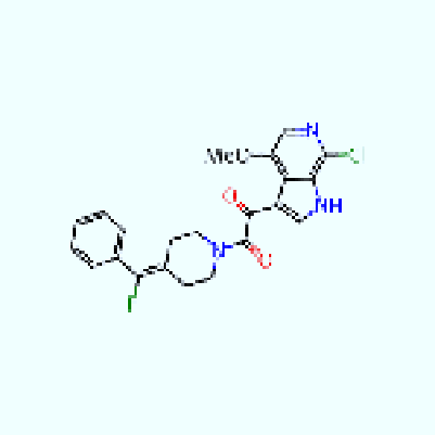 COc1cnc(Cl)c2[nH]cc(C(=O)C(=O)N3CCC(=C(F)c4ccccc4)CC3)c12